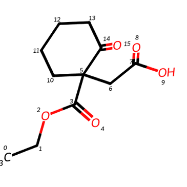 CCOC(=O)C1(CC(=O)O)CCCCC1=O